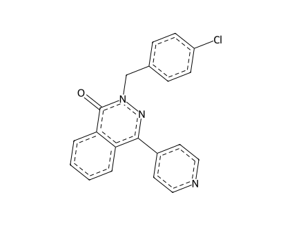 O=c1c2ccccc2c(-c2ccncc2)nn1Cc1ccc(Cl)cc1